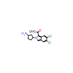 NC1CCC(n2cc3cc(Cl)c(Cl)cc3c2C(=O)C=O)C1